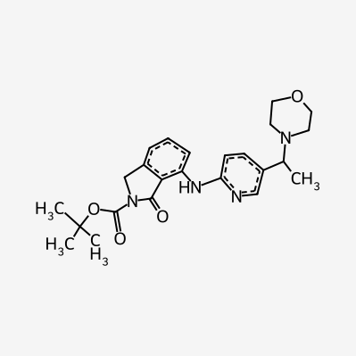 CC(c1ccc(Nc2cccc3c2C(=O)N(C(=O)OC(C)(C)C)C3)nc1)N1CCOCC1